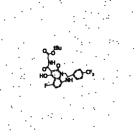 CC(C)(C)OC(=O)CNC(=O)c1c(O)c2c(F)ccc3c2n(c1=O)CC(c1ccc(C(F)(F)F)cc1)N3